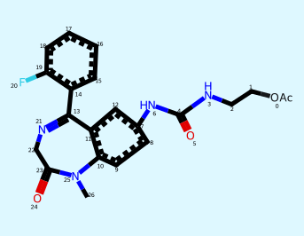 CC(=O)OCCNC(=O)Nc1ccc2c(c1)C(c1ccccc1F)=NCC(=O)N2C